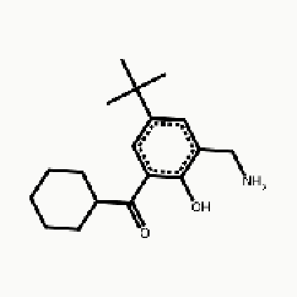 CC(C)(C)c1cc(CN)c(O)c(C(=O)C2CCCCC2)c1